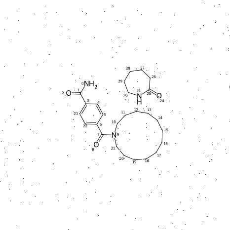 NC(=O)c1ccc(C(=O)N2CCCCCCCCCCCC2)cc1.O=C1CCCCCN1